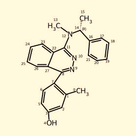 Cc1cc(O)ccc1-c1nnc(N(C)[C@H](C)c2ccccc2)c2ccccc12